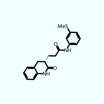 CSc1cccc(NC(=O)CC[C@H]2Cc3ccccc3NC2=O)c1